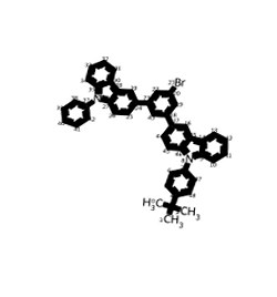 CC(C)(C)c1ccc(-n2c3ccccc3c3cc(-c4cc(Br)cc(-c5ccc6c(c5)c5ccccc5n6-c5ccccc5)c4)ccc32)cc1